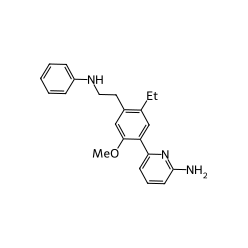 CCc1cc(-c2cccc(N)n2)c(OC)cc1CCNc1ccccc1